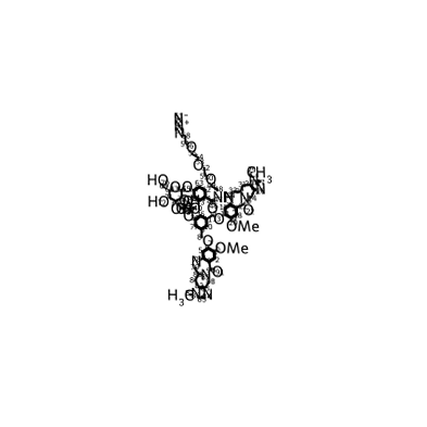 COc1cc2c(cc1OCc1cc(COc3cc4c(cc3OC)C(=O)N3Cc5ncn(C)c5CC3C=N4)cc(OS(=O)(=O)Oc3cc(C(=O)NCCOCCOCCOCCN=[N+]=[N-])ccc3O[C@@H]3O[C@H](CO)[C@H](O)[C@H](O)[C@H]3O)c1)N=CC1Cc3c(ncn3C)CN1C2=O